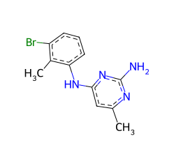 Cc1cc(Nc2cccc(Br)c2C)nc(N)n1